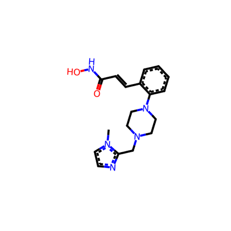 Cn1ccnc1CN1CCN(c2ccccc2C=CC(=O)NO)CC1